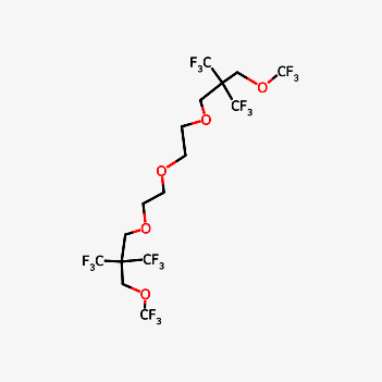 FC(F)(F)OCC(COCCOCCOCC(COC(F)(F)F)(C(F)(F)F)C(F)(F)F)(C(F)(F)F)C(F)(F)F